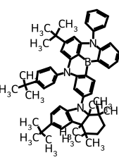 CC(C)(C)c1ccc(N2c3cc(N4c5ccc(C(C)(C)C)cc5C5(C)C(C)(C)CCC(C)(C)C45C)ccc3B3c4ccccc4N(c4ccccc4)c4cc(C(C)(C)C)cc2c43)cc1